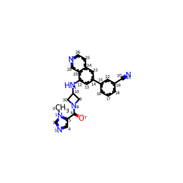 Cn1cncc1C(=O)N1CC(Nc2cc(-c3cccc(C#N)c3)cc3ccncc23)C1